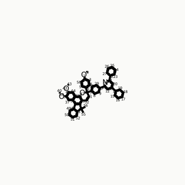 COc1ccc(C2(c3ccc(-c4cc(-c5ccccc5)cc(-c5ccccc5)n4)cc3)C=Cc3c4c(c5cc(OC)c(OC)cc5c3O2)-c2ccccc2C4(C)C)cc1